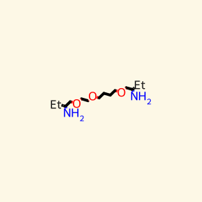 CCC(N)COCCCCOCCOCC(N)CC